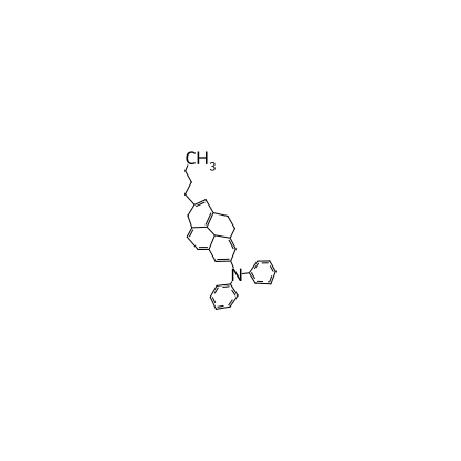 CCCCC1=CC2=C3C(=CC=C4C=C(N(c5ccccc5)c5ccccc5)C=C(CC2)C43)C1